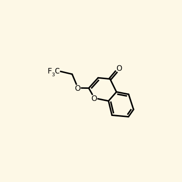 O=c1cc(OCC(F)(F)F)oc2ccccc12